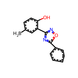 Bc1ccc(O)c(-c2noc(-c3ccccc3)n2)c1